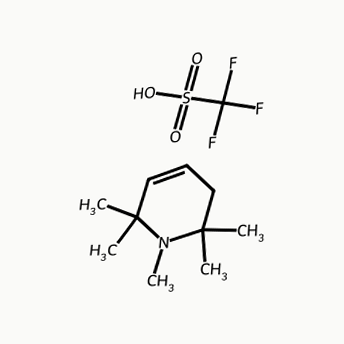 CN1C(C)(C)C=CCC1(C)C.O=S(=O)(O)C(F)(F)F